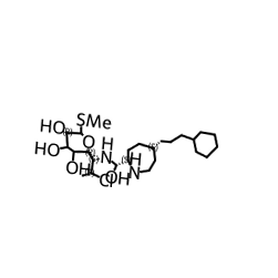 CSC1O[C@H]([C@H](NC(O)[C@@H]2CC[C@H](CCCC3CCCCC3)CCN2)[C@H](C)Cl)C(O)C(O)[C@H]1O